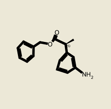 C[C@H](C(=O)OCc1ccccc1)c1cccc(N)c1